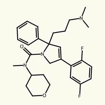 CN(C)CCCC1(c2ccccc2)C=C(c2cc(F)ccc2F)CN1C(=O)N(C)C1CCOCC1